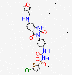 O=C(Nc1ccc(-n2c(=O)[nH]c3cc(NCc4ccoc4)ccc3c2=O)cc1)NS(=O)(=O)c1ccc(Cl)s1